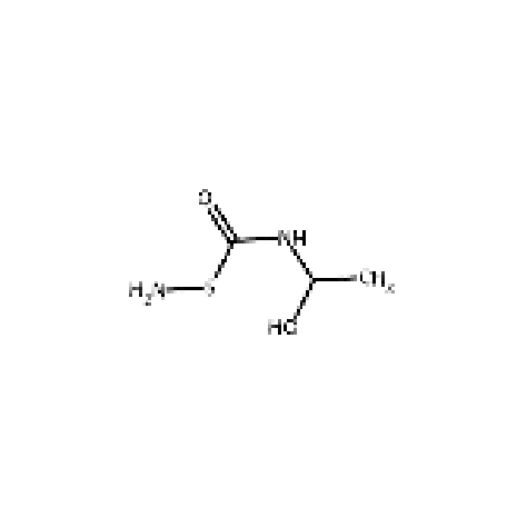 CC(O)NC(=O)SN